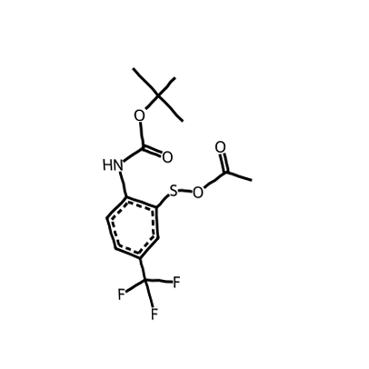 CC(=O)OSc1cc(C(F)(F)F)ccc1NC(=O)OC(C)(C)C